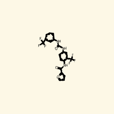 O=C(Nc1cccc(C(F)(F)F)c1)Nc1ccc(NC(=O)c2ccco2)c(C(F)(F)F)c1